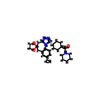 N#Cc1ccc2c(c1)CC1(Cc3nnc([C@H]4CC[C@H](C(=O)N5CCCCC5)CC4)n3-2)OCCO1